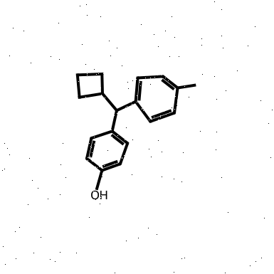 Cc1ccc(C(c2ccc(O)cc2)C2CCC2)cc1